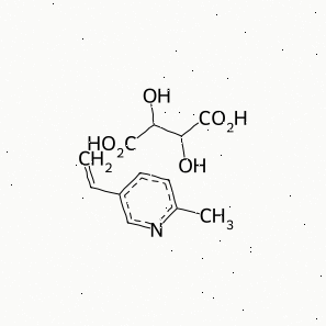 C=Cc1ccc(C)nc1.O=C(O)C(O)C(O)C(=O)O